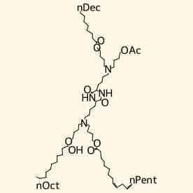 CCCCC/C=C\C/C=C\CCCCCCCC(=O)OCCCCN(CCCCOC(O)CCCCCCCC[C@@H](C)CCCCCCCC)CCCCC1NC(=O)C(CCCCN(CCCCOC(C)=O)CCCCOC(=O)CCCCCCCCCCCCCCCCC)NC1=O